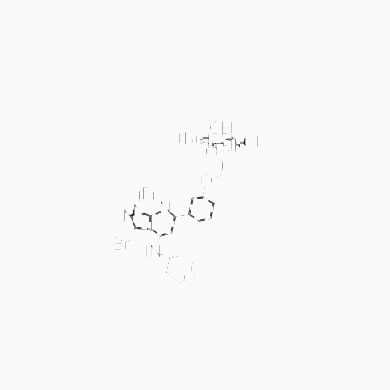 CC(C)n1nc(Br)c2c(NC3CCOCC3)cc(-c3cccc(OCC(CN(C)C)O[Si](C)(C)C(C)(C)C)c3)nc21